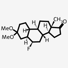 COC1(OC)CC[C@@H]2[C@H]3CC[C@]4(C)C(=O)CC[C@H]4[C@@H]3C[C@@H](F)[C@H]2C1